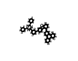 c1ccc(-c2nc(-c3ccccc3)nc(-c3cccc(-c4ccc5c(c4)oc4cccc(-c6ccc7c8ccccc8c8ccccc8c7c6)c45)c3)n2)cc1